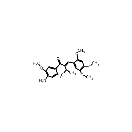 COc1cc(C(=O)/C(=C/c2cc(OC)c(OC)cc2OC)C(C)C)ccc1N